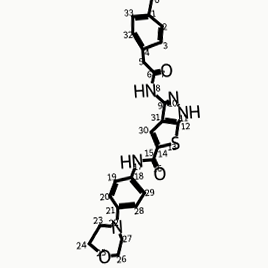 Cc1ccc(CC(=O)Nc2n[nH]c3sc(C(=O)Nc4ccc(N5CCOCC5)cc4)cc23)cc1